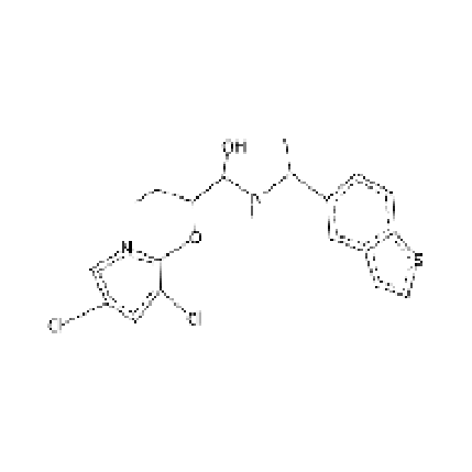 CCC(Oc1ncc(Cl)cc1Cl)C(O)NC(C)c1ccc2sccc2c1